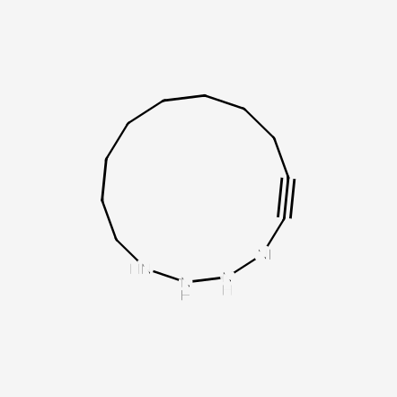 C1#CNNNNCCCCCCCC1